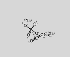 O=C=O.O=P([O-])([O-])[O-].[Na+].[Na+].[Na+]